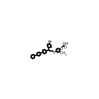 Cc1cc(SC/C=C(\c2ccc(Br)cc2)c2ccc(-c3ccc(-c4ccccc4)cc3)cc2)ccc1OCC(=O)O